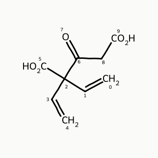 C=CC(C=C)(C(=O)O)C(=O)CC(=O)O